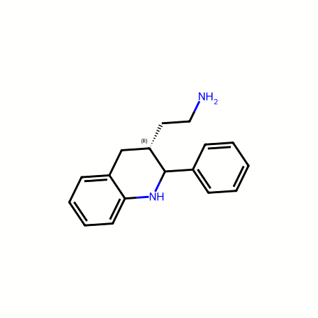 NCC[C@H]1Cc2ccccc2NC1c1ccccc1